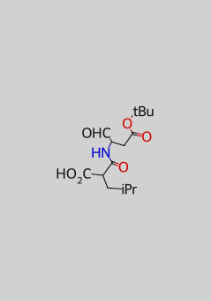 CC(C)CC(C(=O)O)C(=O)NC(C=O)CC(=O)OC(C)(C)C